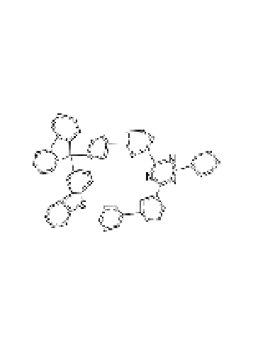 c1ccc(-c2cccc(-c3nc(-c4ccccc4)nc(-c4cccc(-c5ccc(C6(c7ccc8sc9ccccc9c8c7)c7ccccc7-c7ccccc76)cc5)c4)n3)c2)cc1